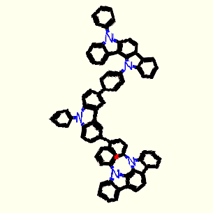 c1ccc(-n2c3ccc(-c4ccc(-n5c6ccccc6c6ccc7c(c8ccccc8n7-c7ccccc7)c65)cc4)cc3c3cc(-c4ccc(-n5c6ccccc6c6ccc7c8ccccc8n(-c8ccccc8)c7c65)cc4)ccc32)cc1